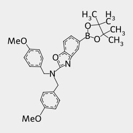 COc1ccc(CN(Cc2ccc(OC)cc2)c2nc3cc(B4OC(C)(C)C(C)(C)O4)ccc3o2)cc1